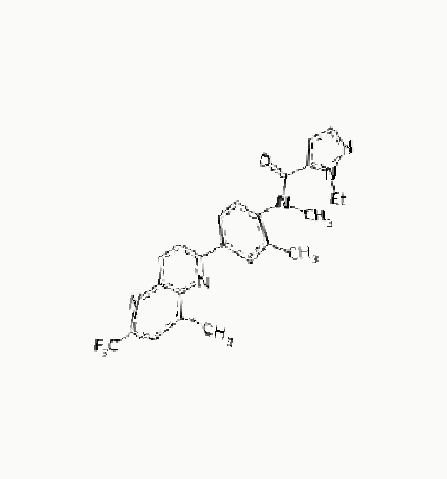 CCn1nccc1C(=O)N(C)c1ccc(-c2ccc3nc(C(F)(F)F)cc(C)c3n2)cc1C